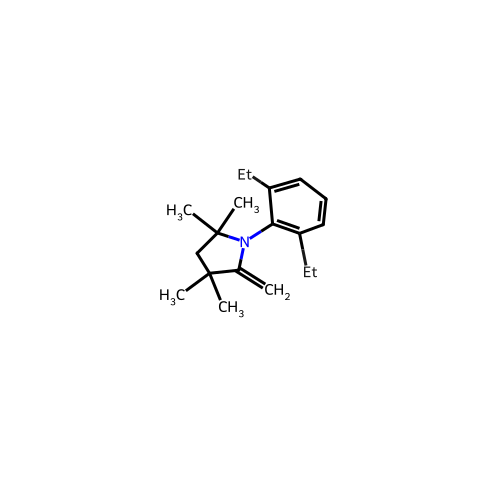 C=C1N(c2c(CC)cccc2CC)C(C)(C)CC1(C)C